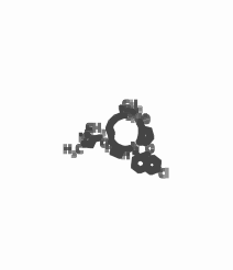 CC[C@@H]1CC/C=C/[C@H](OCc2cc(C)nn2C)[C@@H]2CC[C@H]2CN2C[C@@]3(CCCc4cc(Cl)ccc43)COc3ccc(cc32)C(=O)NS1(=O)=O